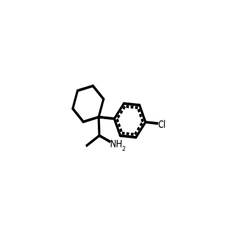 CC(N)C1(c2ccc(Cl)cc2)CCCCC1